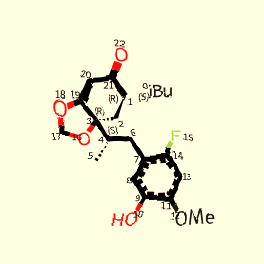 CC[C@H](C)[C@H]1C[C@]2([C@@H](C)Cc3cc(O)c(OC)cc3F)OCOC2=CC1=O